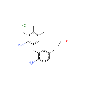 CCO.Cc1ccc(N)c(C)c1C.Cc1ccc(N)c(C)c1C.Cl